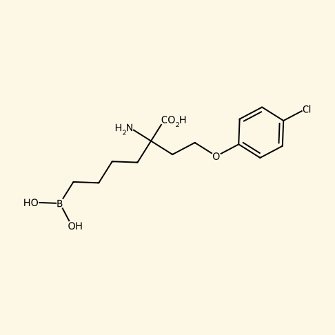 NC(CCCCB(O)O)(CCOc1ccc(Cl)cc1)C(=O)O